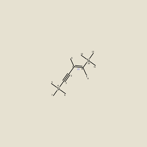 C/C(C#C[Si](C)(C)C)=C(/I)[Si](C)(C)C